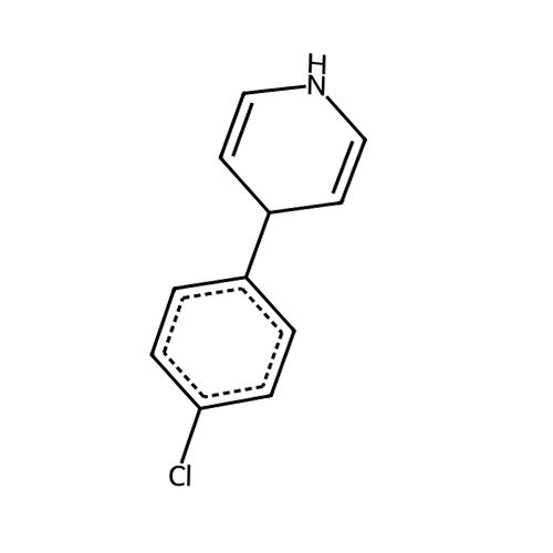 Clc1ccc(C2C=CNC=C2)cc1